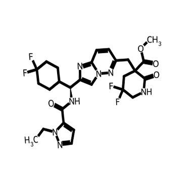 CCn1nccc1C(=O)N[C@H](c1cn2nc(CC3(C(=O)OC)CC(F)(F)CNC3=O)ccc2n1)C1CCC(F)(F)CC1